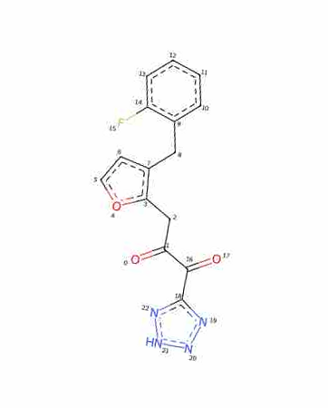 O=C(Cc1occc1Cc1ccccc1F)C(=O)c1nn[nH]n1